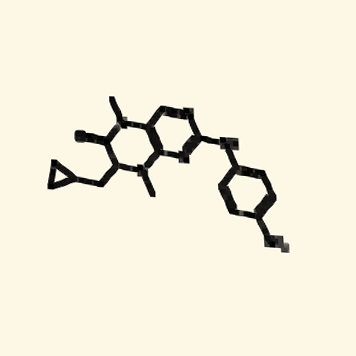 CN1C(=O)C(CC2CC2)N(C)c2nc(Nc3ccc(N)cc3)ncc21